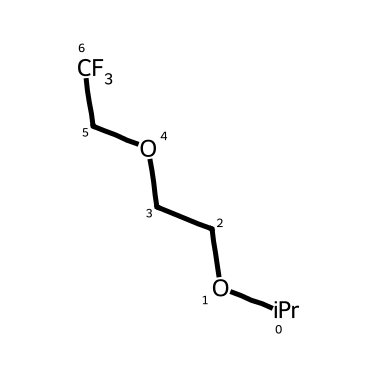 CC(C)OCCOCC(F)(F)F